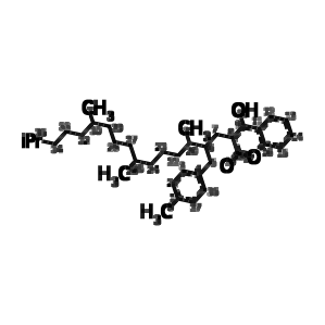 Cc1ccc(CC(Cc2c(O)c3ccccc3oc2=O)C(C)CCCC(C)CCCC(C)CCCC(C)C)cc1